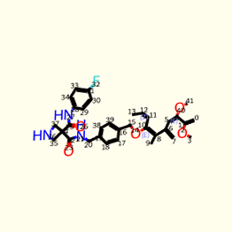 C=C(OC)/C(=C\C(=C)/C(C)=C(\C=C/C)OCc1ccc(CNC(=O)C2(C(=O)Nc3ccc(F)cc3)CNC2)cc1)OC